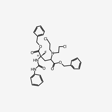 O=C(Nc1ccccc1)N[C@@](F)(CC(C(=O)OCc1ccccc1)N(CCCl)CCCl)C(=O)OCc1ccccc1